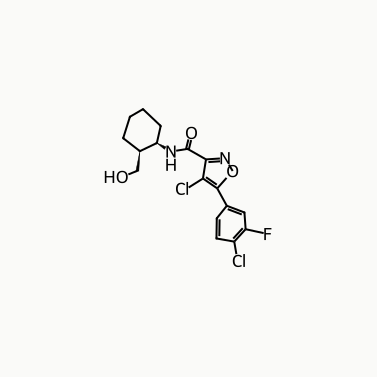 O=C(N[C@@H]1CCCC[C@@H]1CO)c1noc(-c2ccc(Cl)c(F)c2)c1Cl